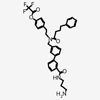 NCCCNC(=O)c1cccc(-c2cccc(CN(CCc3ccc(OC(=O)C(F)(F)F)cc3)C(=O)CCCc3ccccc3)c2)c1